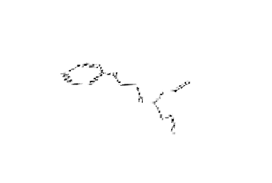 C=CC[C](CC=C)OCCOc1ccccc1